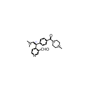 CN(C)/C=C(/c1ccc(C(=O)N2CCN(C)CC2)cc1)c1ccncc1C=O